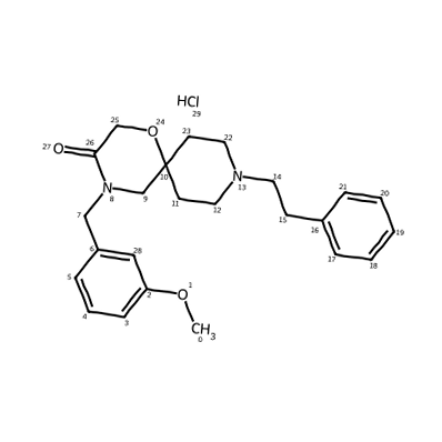 COc1cccc(CN2CC3(CCN(CCc4ccccc4)CC3)OCC2=O)c1.Cl